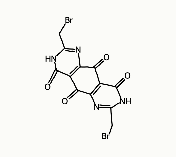 O=C1c2nc(CBr)[nH]c(=O)c2C(=O)c2nc(CBr)[nH]c(=O)c21